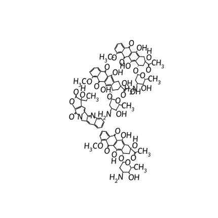 CC[C@@]1(O)C(=O)OCc2c1cc1n(c2=O)Cc2cc3ccccc3nc2-1.COc1cccc2c1C(=O)c1c(O)c3c(c(O)c1C2=O)C[C@@](O)(C(=O)CO)C[C@@H]3O[C@H]1C[C@H](N)[C@H](O)[C@H](C)O1.COc1cccc2c1C(=O)c1c(O)c3c(c(O)c1C2=O)C[C@@](O)(C(C)=O)C[C@@H]3O[C@H]1C[C@H](N)[C@H](O)[C@H](C)O1.COc1cccc2c1C(=O)c1c(O)c3c(c(O)c1C2=O)C[C@@](O)(C(C)=O)C[C@@H]3O[C@H]1C[C@H](N)[C@H](O)[C@H](C)O1